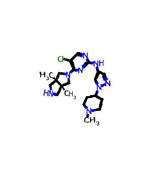 CN1CCC(n2cc(Nc3ncc(Cl)c(N4C[C@]5(C)CNC[C@]5(C)C4)n3)cn2)CC1